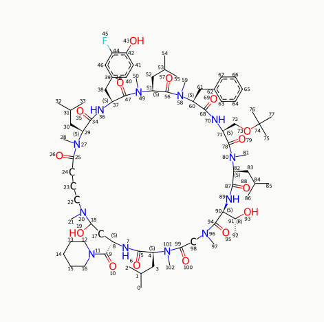 CC(C)C[C@H]1C(=O)N[C@H](C(=O)N2CCCCC2)CC(O)N(C)CCCC(=O)N(C)[C@@H](CC(C)C)C(=O)N[C@@H](Cc2ccc(O)c(F)c2)C(=O)N(C)[C@@H](CC(C)C)C(=O)N(C)[C@@H](Cc2ccccc2)C(=O)N[C@@H](COC(C)(C)C)C(=O)N(C)[C@@H](CC(C)C)C(=O)N[C@@H]([C@@H](C)O)C(=O)N(C)CC(=O)N1C